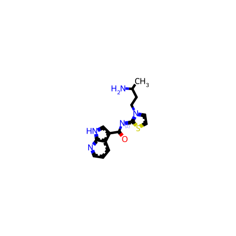 CC(N)CCn1ccs/c1=N\C(=O)c1c[nH]c2ncccc12